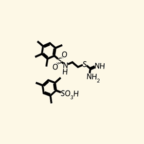 Cc1cc(C)c(S(=O)(=O)NCCSC(=N)N)c(C)c1C.Cc1cc(C)c(S(=O)(=O)O)c(C)c1